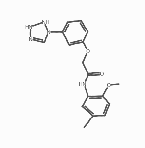 COc1ccc(C)cc1NC(=O)COc1cccc(N2C=NNN2)c1